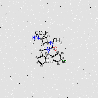 CN(C(=O)N1CCc2ccccc2[C@@H]1c1ccc(F)cc1)C1CC(NC(=O)O)C1